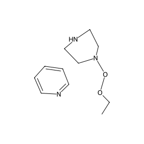 CCOON1CCNCC1.c1ccncc1